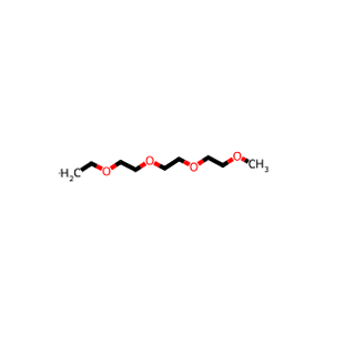 [CH2]COCCOCCOCCOC